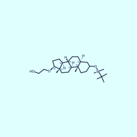 CC(C)(C)[Si](C)(C)OC1CC[C@@]2(C)[C@@H](CC[C@@H]3[C@@H]2CC[C@]2(C)[C@@H](OCCO)CC[C@@H]32)C1